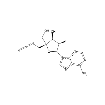 [N-]=[N+]=NC[C@]1(CO)OC(n2cnc3c(N)ncnc32)[C@H](F)[C@@H]1O